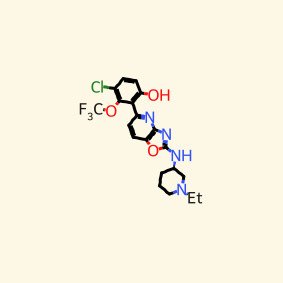 CCN1CCC[C@@H](Nc2nc3nc(-c4c(O)ccc(Cl)c4OC(F)(F)F)ccc3o2)C1